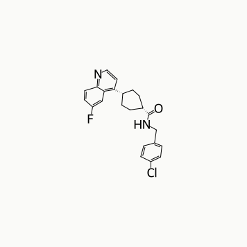 O=C(NCc1ccc(Cl)cc1)[C@H]1CC[C@@H](c2ccnc3ccc(F)cc32)CC1